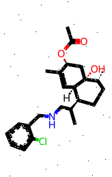 CC(=O)O[C@@H]1[CH][C@@]2(O)[C@H](C)CC[C@@H](C(C)CNCc3ccccc3Cl)[C@H]2C=C1C